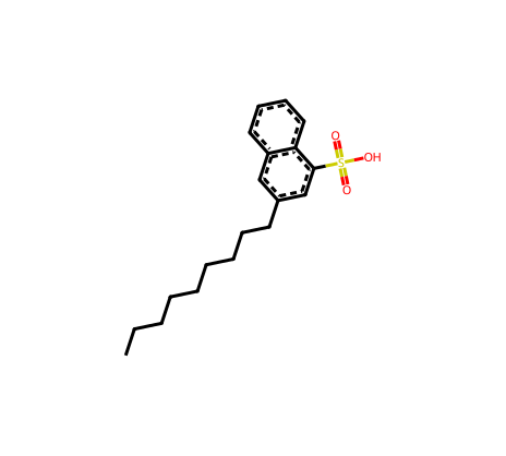 CCCCCCCCCc1cc(S(=O)(=O)O)c2ccccc2c1